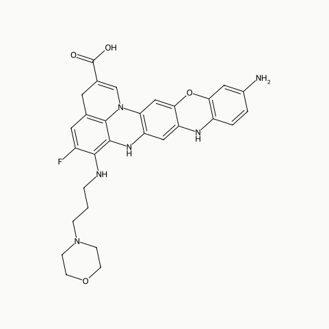 Nc1ccc2[nH]c3cc4[nH]c5c(NCCCN6CCOCC6)c(F)cc6c5n(c4cc3oc2c1)C=C(C(=O)O)C6